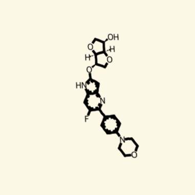 O[C@@H]1CO[C@H]2[C@@H]1OC[C@H]2Oc1cc2nc(-c3ccc(N4CCOCC4)cc3)c(F)cc2[nH]1